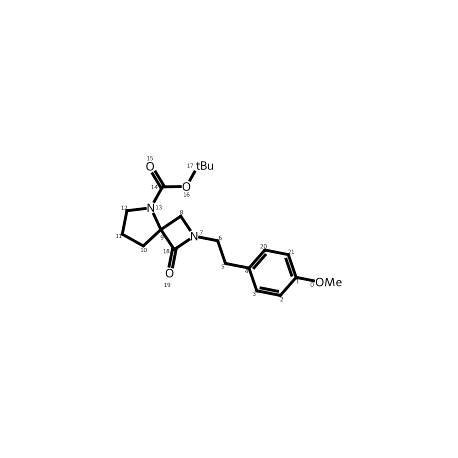 COc1ccc(CCN2CC3(CCCN3C(=O)OC(C)(C)C)C2=O)cc1